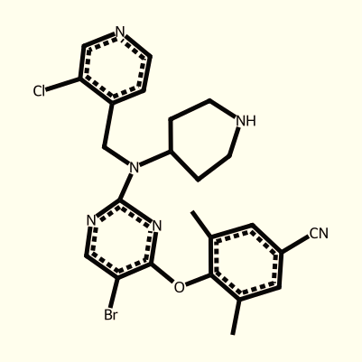 Cc1cc(C#N)cc(C)c1Oc1nc(N(Cc2ccncc2Cl)C2CCNCC2)ncc1Br